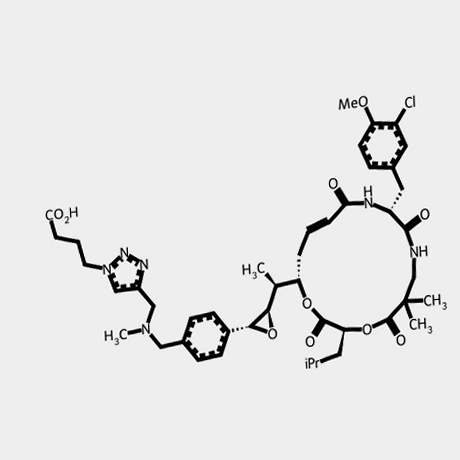 COc1ccc(C[C@H]2NC(=O)/C=C/C[C@@H]([C@H](C)[C@H]3O[C@@H]3c3ccc(CN(C)Cc4cn(CCCC(=O)O)nn4)cc3)OC(=O)[C@H](CC(C)C)OC(=O)C(C)(C)CNC2=O)cc1Cl